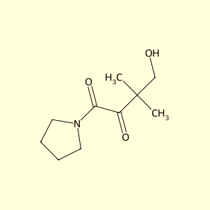 CC(C)(CO)C(=O)C(=O)N1CCCC1